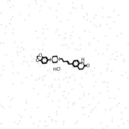 Cl.O=C1CCc2cc(C=CCCN3CCN(c4ccc5c(c4)OCO5)CC3)ccc2N1